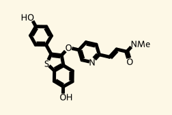 CNC(=O)C=Cc1ccc(Oc2c(-c3ccc(O)cc3)sc3cc(O)ccc23)cn1